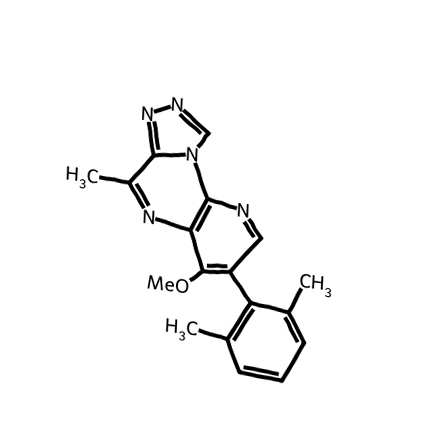 COc1c(-c2c(C)cccc2C)cnc2c1nc(C)c1nncn12